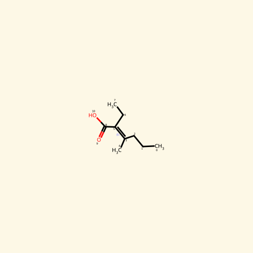 CCC/C(C)=C(\CC)C(=O)O